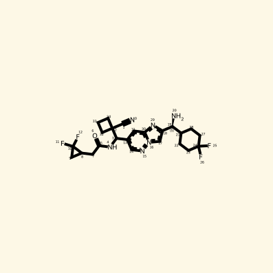 N#CC1(C(NC(=O)CC2CC2(F)F)c2cnn3cc([C@@H](N)C4CCC(F)(F)CC4)nc3c2)CCC1